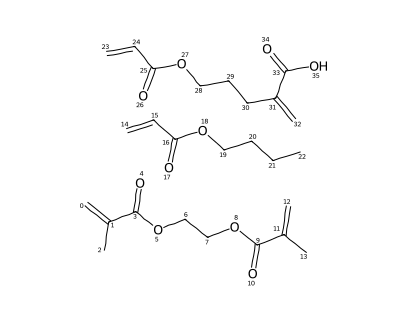 C=C(C)C(=O)OCCOC(=O)C(=C)C.C=CC(=O)OCCCC.C=CC(=O)OCCCC(=C)C(=O)O